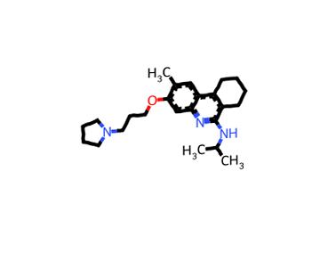 Cc1cc2c3c(c(NC(C)C)nc2cc1OCCCN1CCCC1)CCCC3